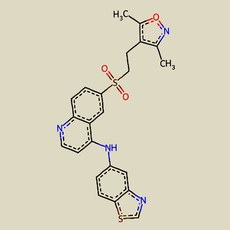 Cc1noc(C)c1CCS(=O)(=O)c1ccc2nccc(Nc3ccc4scnc4c3)c2c1